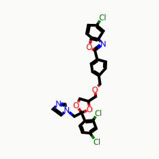 Clc1ccc(C2(Cn3ccnc3)OCC(COCc3ccc(-c4nc5cc(Cl)ccc5o4)cc3)O2)c(Cl)c1